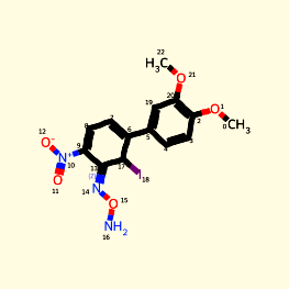 COc1ccc(C2=CC=C([N+](=O)[O-])/C(=N/ON)C2I)cc1OC